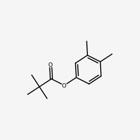 Cc1ccc(OC(=O)C(C)(C)C)cc1C